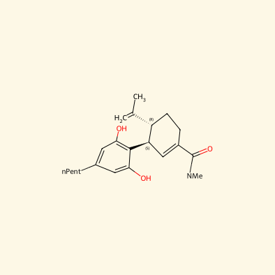 C=C(C)[C@@H]1CCC(C(=O)NC)=C[C@H]1c1c(O)cc(CCCCC)cc1O